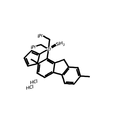 Cc1ccc2c(c1)Cc1c-2ccc(C)[c]1[Zr](=[SiH2])([CH2]C(C)C)([CH2]C(C)C)[C]1=CC=CC1.Cl.Cl